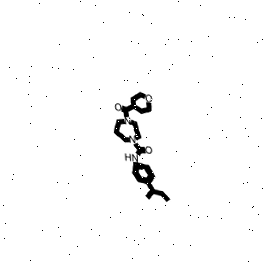 CCC(C)c1ccc(NC(=O)N2CCCN(C(=O)C3CCOCC3)CC2)cc1